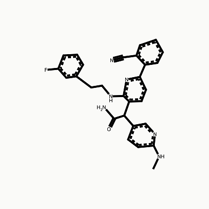 CNc1ccc(C(C(N)=O)c2ccc(-c3ccccc3C#N)nc2NCCc2cccc(F)c2)cn1